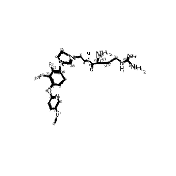 COc1ccc(Oc2ccc(N3C=CN(CCNC(=O)[C@@H](N)CCNC(=N)N)C3)c(F)c2F)nc1